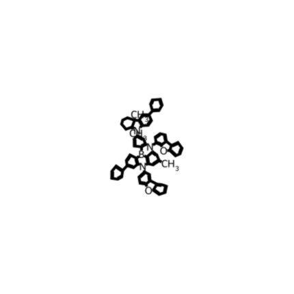 Cc1cc2c3c(c1)N(c1cccc4c1oc1ccccc14)c1cc(N4c5ccc(-c6ccccc6)cc5C5(C)CCCCC45C)ccc1B3c1ccc(-c3ccccc3)cc1N2c1ccc2oc3ccccc3c2c1